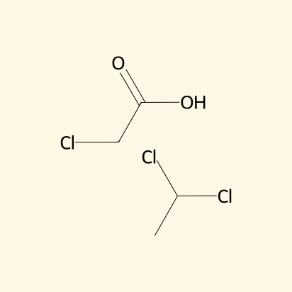 CC(Cl)Cl.O=C(O)CCl